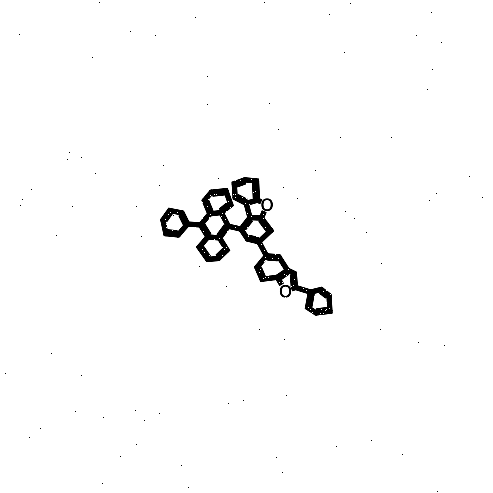 c1ccc(-c2cc3cc(-c4cc(-c5c6ccccc6c(-c6ccccc6)c6ccccc56)c5c(c4)oc4ccccc45)ccc3o2)cc1